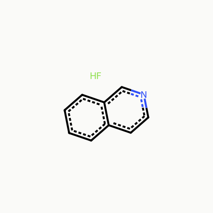 F.c1ccc2cnccc2c1